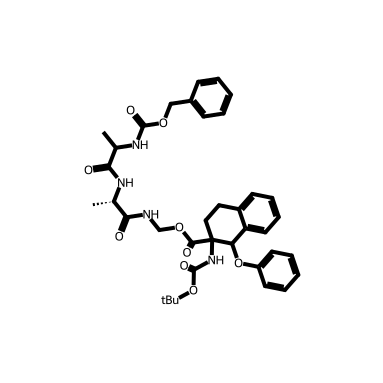 CC(NC(=O)OCc1ccccc1)C(=O)N[C@@H](C)C(=O)NCOC(=O)C1(NC(=O)OC(C)(C)C)CCc2ccccc2C1Oc1ccccc1